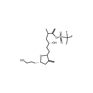 C=C(OS(=O)(=O)C(F)(F)F)C(C)C[C@H](O)CCC1O[C@@H](CCCO)CC1=C